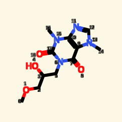 COCC(O)Cn1c(=O)c2c(ncn2C)n(C)c1=O